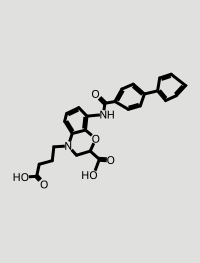 O=C(O)CCCN1CC(C(=O)O)Oc2c(NC(=O)c3ccc(-c4ccccc4)cc3)cccc21